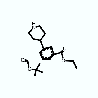 CC(C)(C)OC=O.CCOC(=O)c1cccc(C2CCNCC2)c1